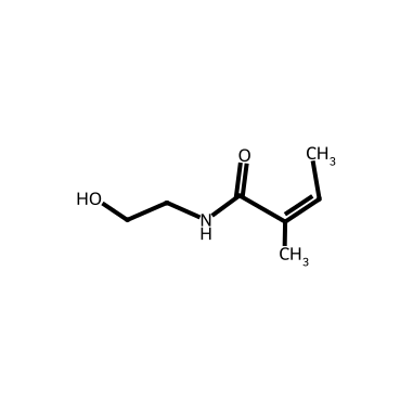 CC=C(C)C(=O)NCCO